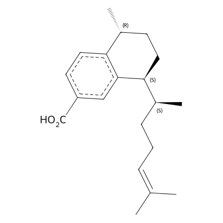 CC(C)=CCC[C@H](C)[C@@H]1CC[C@@H](C)c2ccc(C(=O)O)cc21